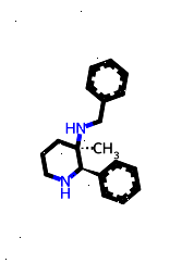 C[C@@]1(NCc2ccccc2)CCCN[C@@H]1c1ccccc1